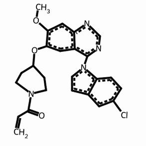 C=CC(=O)N1CCC(Oc2cc3c(-n4ccc5cc(Cl)ccc54)ncnc3cc2OC)CC1